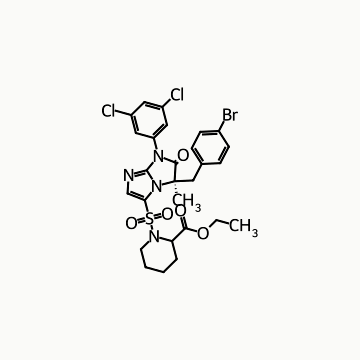 CCOC(=O)C1CCCCN1S(=O)(=O)c1cnc2n1[C@](C)(Cc1ccc(Br)cc1)C(=O)N2c1cc(Cl)cc(Cl)c1